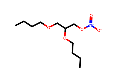 CCCCOCC(CO[N+](=O)[O-])OCCCC